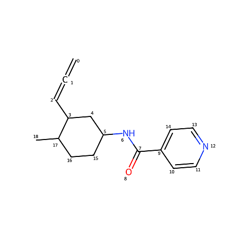 C=C=CC1CC(NC(=O)c2ccncc2)CCC1C